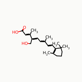 CC1=C(/C=C/C(C)=C/C=C(CO)/C(C)=C/C(=O)O)C(C)(C)CCC1